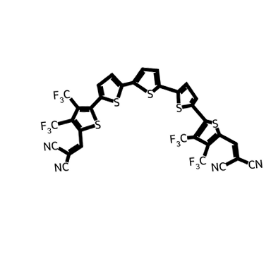 N#CC(C#N)=Cc1sc(-c2ccc(-c3ccc(-c4ccc(-c5sc(C=C(C#N)C#N)c(C(F)(F)F)c5C(F)(F)F)s4)s3)s2)c(C(F)(F)F)c1C(F)(F)F